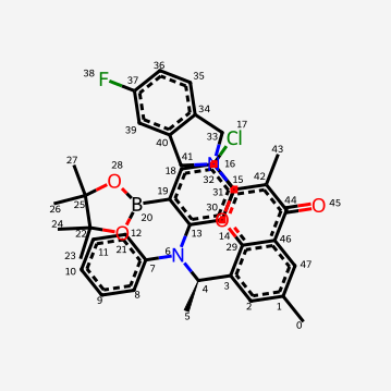 Cc1cc([C@@H](C)N(c2ccccc2)c2ccc(Cl)cc2B2OC(C)(C)C(C)(C)O2)c2oc(N3Cc4ccc(F)cc4C3)c(C)c(=O)c2c1